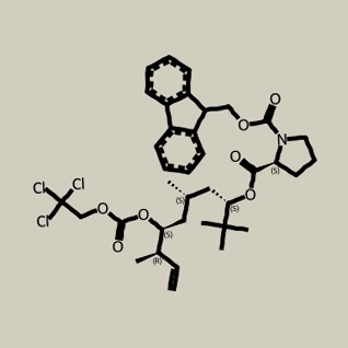 C=C[C@@H](C)[C@H](C[C@H](C)C[C@H](OC(=O)[C@@H]1CCCN1C(=O)OCC1c2ccccc2-c2ccccc21)C(C)(C)C)OC(=O)OCC(Cl)(Cl)Cl